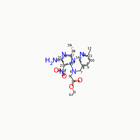 CCOC(=O)CN(Cc1ccc(C)nc1)c1nc(SC)nc(N)c1[N+](=O)[O-]